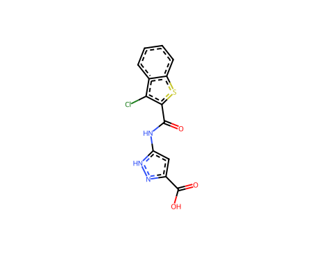 O=C(O)c1cc(NC(=O)c2sc3ccccc3c2Cl)[nH]n1